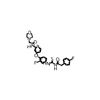 O=C(Cc1ccc(F)cc1)NC(=S)Nc1ccc(Oc2ccnc(NC(=O)CN3CCOCC3)c2)c(F)c1